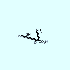 NCCCCC(C(=O)O)C(=O)CCCCC(S)CCS